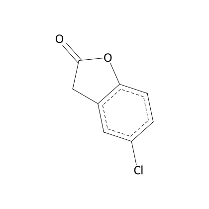 O=C1Cc2cc(Cl)ccc2O1